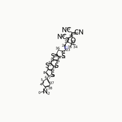 CN(C)c1ccc(-c2cc3sc4c5sc6c(c5sc4c3s2)SC(/C=C/C2=C(C#N)C(=C(C#N)C#N)OC2(C)C)C6)cc1